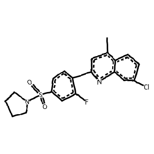 Cc1cc(-c2ccc(S(=O)(=O)N3CCCC3)cc2F)nc2cc(Cl)ccc12